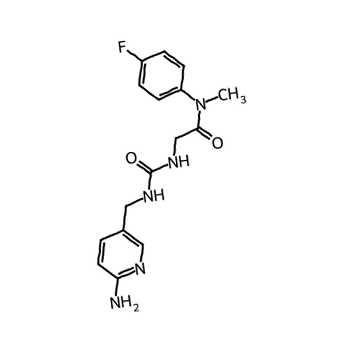 CN(C(=O)CNC(=O)NCc1ccc(N)nc1)c1ccc(F)cc1